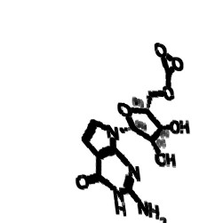 Nc1nc2c(ccn2[C@@H]2O[C@H](COC3OO3)[C@@H](O)[C@H]2O)c(=O)[nH]1